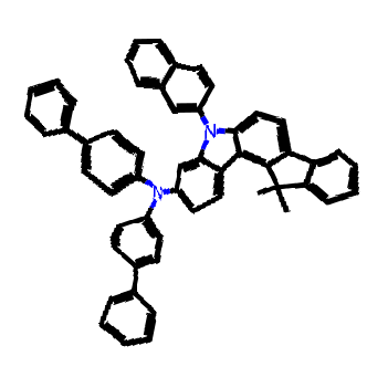 CC1(C)c2ccccc2-c2ccc3c(c21)c1ccc(N(c2ccc(-c4ccccc4)cc2)c2ccc(-c4ccccc4)cc2)cc1n3-c1ccc2ccccc2c1